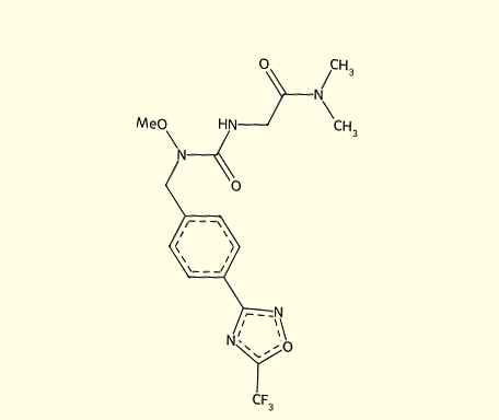 CON(Cc1ccc(-c2noc(C(F)(F)F)n2)cc1)C(=O)NCC(=O)N(C)C